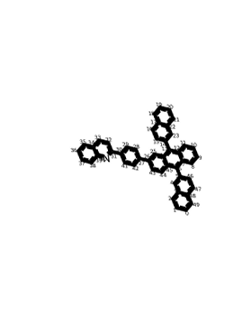 c1ccc2cc(-c3c4ccccc4c(-c4ccc5ccccc5c4)c4cc(-c5ccc(-c6ccc7ccccc7n6)cc5)ccc34)ccc2c1